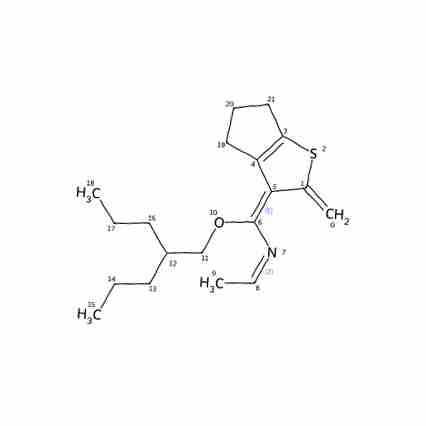 C=c1sc2c(/c1=C(/N=C\C)OCC(CCC)CCC)CCC2